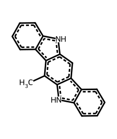 Cc1c2[nH]c3ccccc3c2cc2[nH]c3ccccc3c12